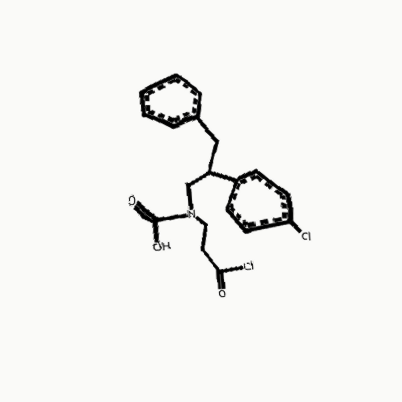 O=C(Cl)CCN(CC(Cc1ccccc1)c1ccc(Cl)cc1)C(=O)O